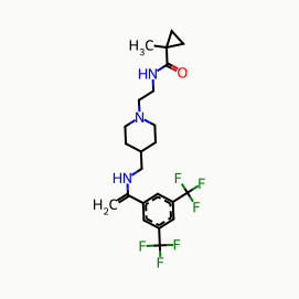 C=C(NCC1CCN(CCNC(=O)C2(C)CC2)CC1)c1cc(C(F)(F)F)cc(C(F)(F)F)c1